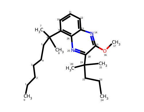 CCCCCCC(C)(C)c1cccc2nc(OC)c(C(C)(C)CCC)nc12